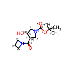 CC(C)(C)OC(=O)N1C[C@@H](O)[C@H](C(=O)N2CCC2)C1